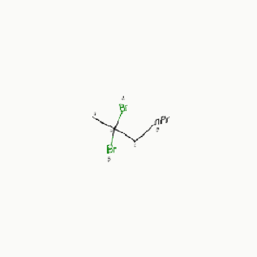 CCCCC(C)(Br)Br